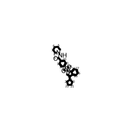 O=C(NN1CCCCC1)c1ccc(S(=O)(=O)n2cc(C3CCCC3)c3ccccc32)cc1